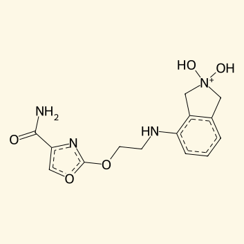 NC(=O)c1coc(OCCNc2cccc3c2C[N+](O)(O)C3)n1